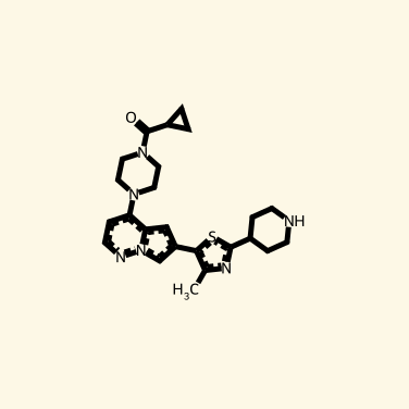 Cc1nc(C2CCNCC2)sc1-c1cc2c(N3CCN(C(=O)C4CC4)CC3)ccnn2c1